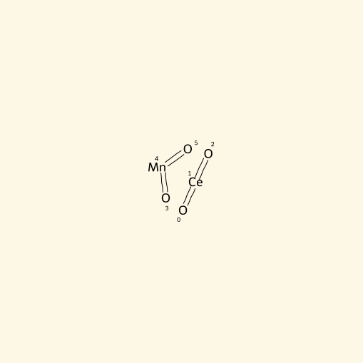 [O]=[Ce]=[O].[O]=[Mn]=[O]